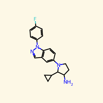 NC1CCN(c2ccc3c(cnn3-c3ccc(F)cc3)c2)C1C1CC1